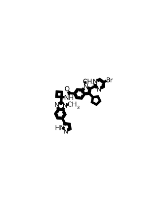 Cn1c(C2(NC(=O)c3ccc4c(C5CCCC5)c(-c5ncc(Br)cn5)n(C)c4c3)CCC2)nc2ccc(-c3ccn[nH]3)cc21